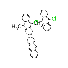 Cc1c2ccccc2c(C)c2ccccc12.Clc1c2ccccc2c(Cl)c2ccccc12.c1ccc2cc3ccccc3cc2c1